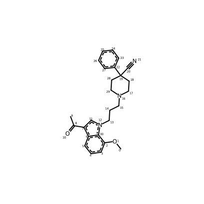 COc1cccc2c(C(C)=O)cn(CCCN3CCC(C#N)(c4ccccc4)CC3)c12